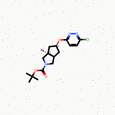 CC(C)(C)OC(=O)N1CC2C[C@H](Oc3ccc(Cl)nn3)C[C@@H]2C1